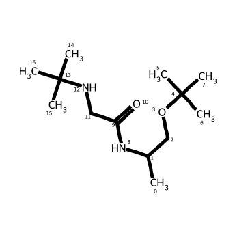 CC(COC(C)(C)C)NC(=O)CNC(C)(C)C